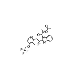 CC(=O)ON(C)C(=O)n1c([S@+]([O-])Cc2nccc(OCC(F)(F)F)c2C)nc2ccccc21